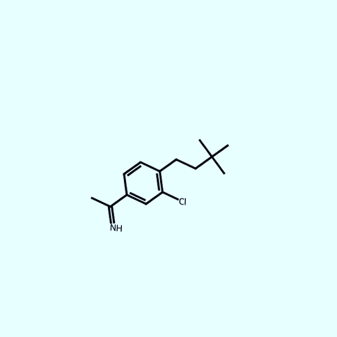 CC(=N)c1ccc(CCC(C)(C)C)c(Cl)c1